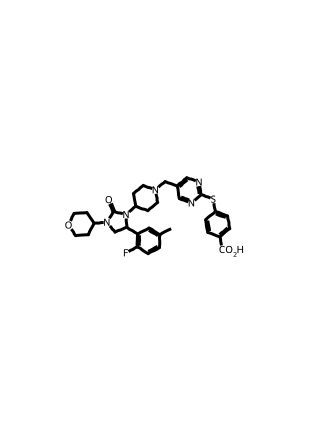 Cc1ccc(F)c(C2CN(C3CCOCC3)C(=O)N2C2CCN(Cc3cnc(Sc4ccc(C(=O)O)cc4)nc3)CC2)c1